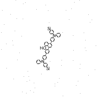 C[Si](C)(C)c1ccc(N(c2ccccc2)c2ccc(-c3ccc(-c4ccc(-c5ccc(N(c6ccccc6)c6ccc([Si](C)(C)C)cc6)cc5)c5ccccc45)c(O)c3)cc2)cc1